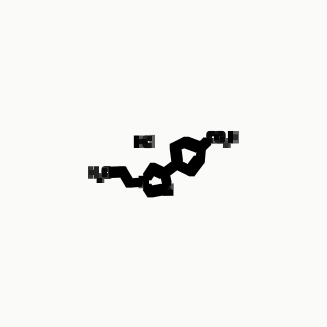 C=CCn1cnc(-c2ccc(C(=O)O)cc2)c1.Cl